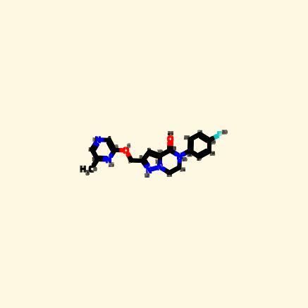 Cc1cncc(OCc2cc3n(n2)CCN(c2ccc(F)cc2)C3=O)n1